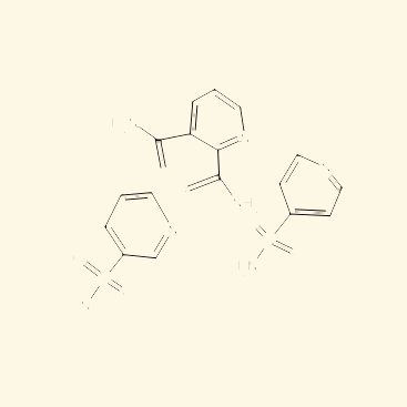 NC(=O)c1cccnc1C(N)=O.NS(=O)(=O)c1cccnc1.NS(=O)(=O)c1ccncc1